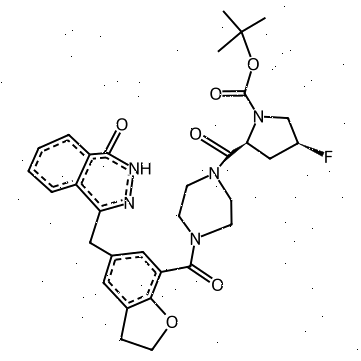 CC(C)(C)OC(=O)N1C[C@@H](F)C[C@H]1C(=O)N1CCN(C(=O)c2cc(Cc3n[nH]c(=O)c4ccccc34)cc3c2OCC3)CC1